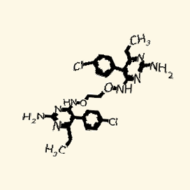 CCc1nc(N)nc(NOCCONc2nc(N)nc(CC)c2-c2ccc(Cl)cc2)c1-c1ccc(Cl)cc1